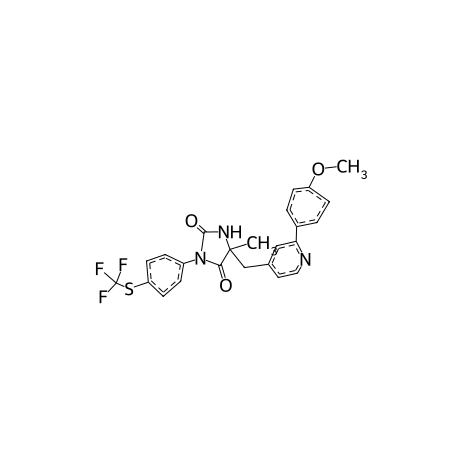 COc1ccc(-c2cc(CC3(C)NC(=O)N(c4ccc(SC(F)(F)F)cc4)C3=O)ccn2)cc1